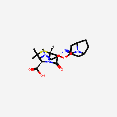 CN(C)CCOC1CC2CCC(C1)N2C=N[C@@H]1C(=O)N2[C@@H]1SC(C)(C)[C@@H]2C(=O)O